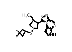 CCC1CN(SC2CC(F)(F)C2)CC1c1nnc2cnc3[nH]ccc3n12